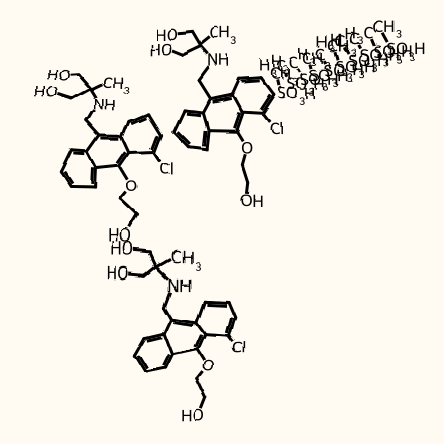 CC(CO)(CO)NCc1c2ccccc2c(OCCO)c2c(Cl)cccc12.CC(CO)(CO)NCc1c2ccccc2c(OCCO)c2c(Cl)cccc12.CC(CO)(CO)NCc1c2ccccc2c(OCCO)c2c(Cl)cccc12.CS(=O)(=O)O.CS(=O)(=O)O.CS(=O)(=O)O.CS(=O)(=O)O.CS(=O)(=O)O.CS(=O)(=O)O.CS(=O)(=O)O.CS(=O)(=O)O.CS(=O)(=O)O.CS(=O)(=O)O